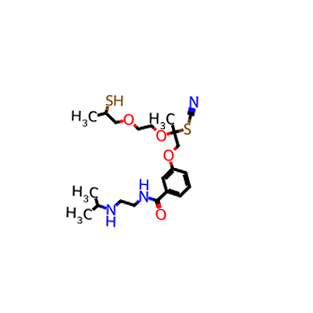 CC(S)COCCOC(C)(COc1cccc(C(=O)NCCNC(C)C)c1)SC#N